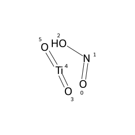 O=NO.[O]=[Ti]=[O]